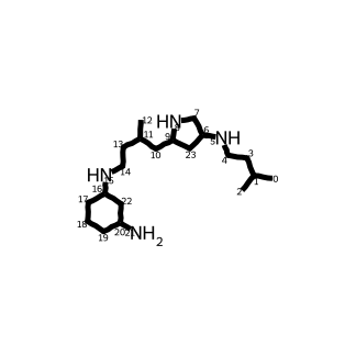 CC(C)CCNC1CNC(CC(C)CCNC2CCCC(N)C2)C1